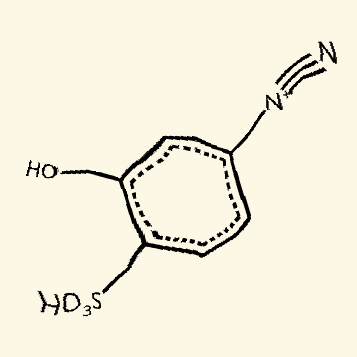 N#[N+]c1ccc(S(=O)(=O)O)c(O)c1